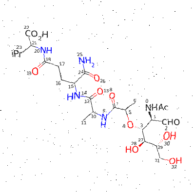 CC(=O)N[C@@H](C=O)[C@@H](OC(C)C(=O)NC(C)C(=O)NC(CCC(=O)NC(C(=O)O)C(C)C)C(N)=O)[C@H](O)[C@H](O)CO